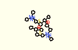 c1ccc(-c2cc(-c3cccc4c3sc3cc(-c5nc(-c6ccccc6)nc(-c6cccc(-c7ccc8c(c7)oc7c(-c9ccccc9)ccc(-c9cccc%10c9sc9cc(-c%11nc(-c%12ccccc%12)nc(-c%12ccccc%12)n%11)ccc9%10)c78)c6)n5)ccc34)c3c(c2)oc2ccccc23)cc1